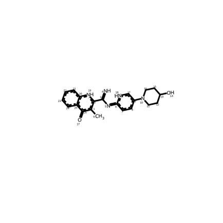 Cc1c(C(=N)/N=c2/ccc(N3CCC(O)CC3)c[nH]2)[nH]c2ccccc2c1=O